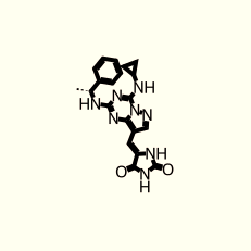 C[C@@H](Nc1nc(NC2CC2)n2ncc(/C=C3\NC(=O)NC3=O)c2n1)c1ccccc1